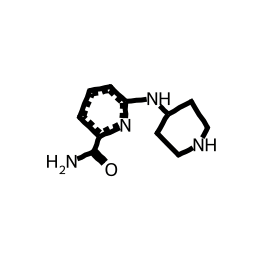 NC(=O)c1cccc(NC2CCNCC2)n1